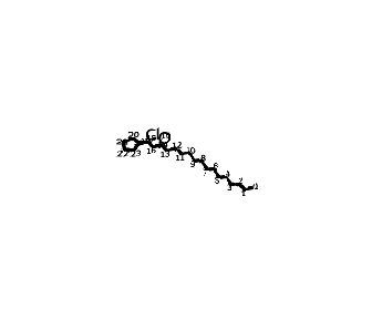 CCCCCCCCCCCCCCC(=O)CC(Cl)C1CCCC1